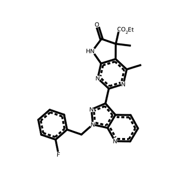 CCOC(=O)C1(C)C(=O)Nc2nc(-c3nn(Cc4ccccc4F)c4ncccc34)nc(C)c21